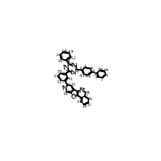 c1ccc(-c2ccc(-c3nc(-c4ccccc4)nc(-c4cccc(-c5cc6c(cn5)oc5c7ccccc7cnc65)c4)n3)cc2)cc1